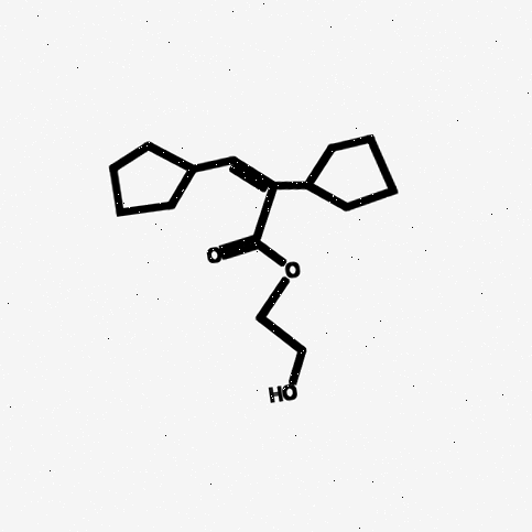 O=C(OCCO)C(=CC1CCCC1)C1CCCC1